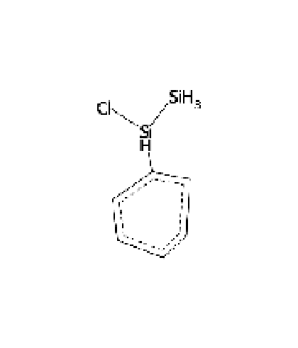 [SiH3][SiH](Cl)c1ccccc1